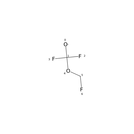 [O]C(F)(F)OCF